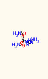 C[C@H](N)C(=O)OCC1CC1(COC(=O)[C@H](C)N)Cn1cnc2cnc(N)nc21